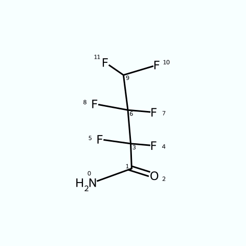 NC(=O)C(F)(F)C(F)(F)C(F)F